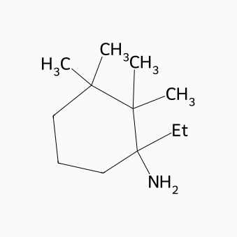 CCC1(N)CCCC(C)(C)C1(C)C